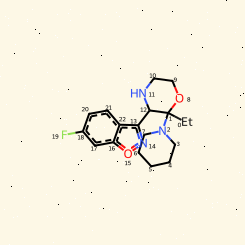 CCC1(N2CCCCC2)OCCNC1c1noc2cc(F)ccc12